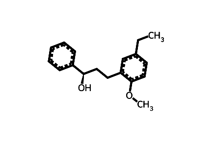 CCc1ccc(OC)c(CC[C@@H](O)c2ccccc2)c1